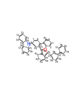 c1cccc(-c2ccc(-n3c4ccccc4c4ccccc43)cc2-c2oc(-c3cccc(-c4ccccc4)c3)c3c2CCC=C3)c#1